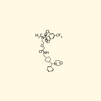 CN(CCOCC(=O)NCC1CCC(C(c2ccccc2)N2CCOCC2)CC1)S(=O)(=O)c1c(Cl)cc(C(F)(F)F)cc1Cl